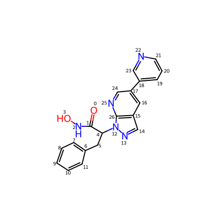 O=C(NO)C(Cc1ccccc1)n1ncc2cc(-c3cccnc3)cnc21